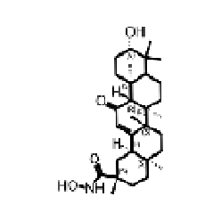 CC1(C)C2CC[C@]3(C)[C@H](C(=O)C=C4[C@@H]5C[C@@](C)(C(=O)NO)CC[C@]5(C)CC[C@]43C)[C@@]2(C)CC[C@@H]1O